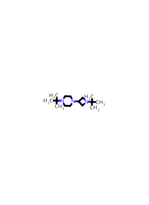 CC(C)(C)N1CCN(C2CN(C(C)(C)C)C2)CC1